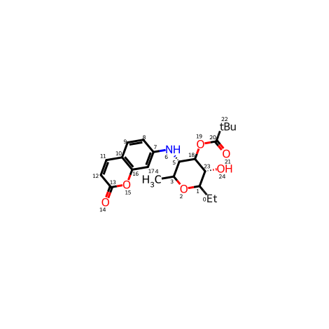 CCC1OC(C)[C@H](Nc2ccc3ccc(=O)oc3c2)C(OC(=O)C(C)(C)C)[C@@H]1O